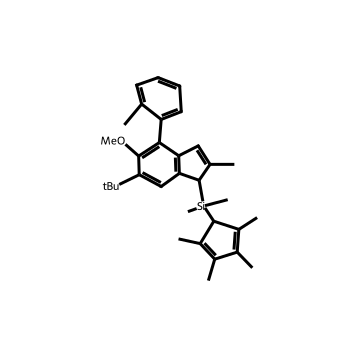 COc1c(C(C)(C)C)cc2c(c1-c1ccccc1C)C=C(C)C2[Si](C)(C)C1C(C)=C(C)C(C)=C1C